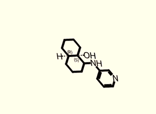 O[C@@]12CCCC[C@@H]1CCCC2Nc1cccnc1